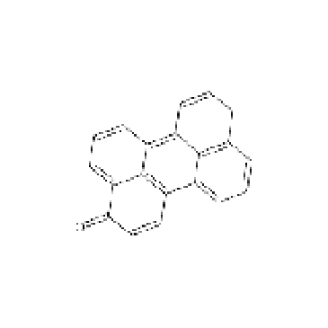 O=C1C=Cc2c3cccc4c3c(c3cccc1c23)C=CC4